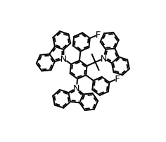 CC(C)(c1c(-c2cccc(F)c2)c(-n2c3ccccc3c3ccccc32)cc(-n2c3ccccc3c3ccccc32)c1-c1cccc(F)c1)n1c2ccccc2c2ccccc21